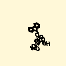 CC(C)(C)OC(=O)N1CCN(C(=O)OCC2c3ccccc3-c3ccccc32)[C@@H](C(=O)O)C1